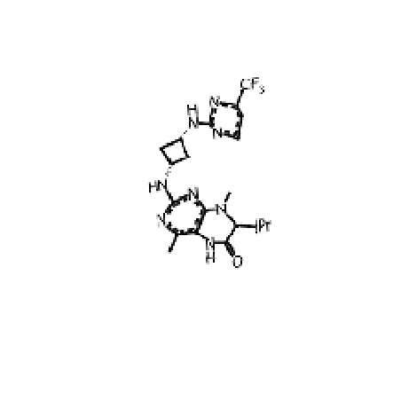 Cc1nc(N[C@H]2C[C@@H](Nc3nccc(C(F)(F)F)n3)C2)nc2c1NC(=O)C(C(C)C)N2C